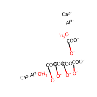 O.O.O=C([O-])[O-].O=C([O-])[O-].O=C([O-])[O-].O=C([O-])[O-].O=C([O-])[O-].[Al+3].[Al+3].[Ca+2].[Ca+2]